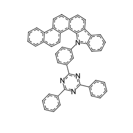 c1ccc(-c2nc(-c3ccccc3)nc(-c3cccc(-n4c5ccccc5c5ccc6ccc7c8ccccc8ccc7c6c54)c3)n2)cc1